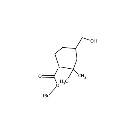 CC(C)(C)OC(=O)N1CCC(CO)CC1(C)C